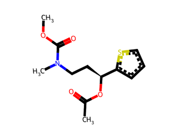 COC(=O)N(C)CC[C@H](OC(C)=O)c1cccs1